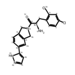 N[C@H](Cc1ccc(Cl)cc1Cl)C(=O)N1Cc2ccc(-c3ccn[nH]3)cc2C1